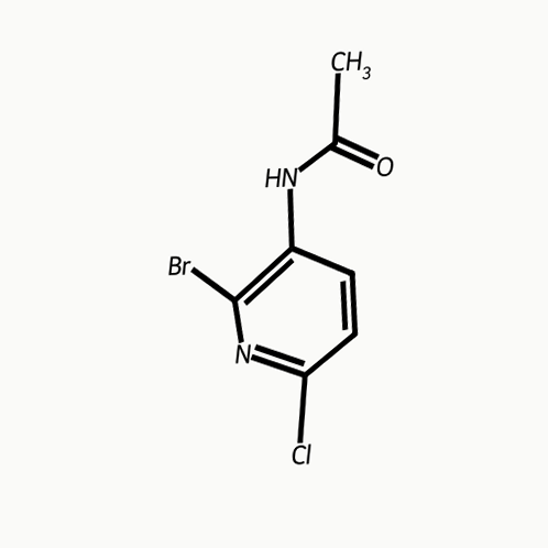 CC(=O)Nc1ccc(Cl)nc1Br